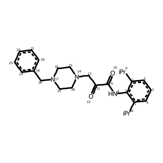 CC(C)c1cccc(C(C)C)c1NC(=O)C(=O)CN1CCN(Cc2ccccc2)CC1